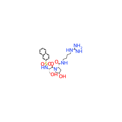 N=C(N)NCCCCNC(=O)[C@@H]1CC(O)CN1C(=O)[C@H](CO)NS(=O)(=O)c1ccc2ccccc2c1